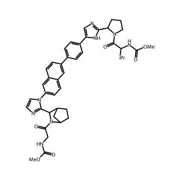 COC(=O)NCC(=O)N1C2CCC(C2)C1c1nccn1-c1ccc2cc(-c3ccc(-c4cnc(C5CCCN5C(=O)C(NC(=O)OC)C(C)C)[nH]4)cc3)ccc2c1